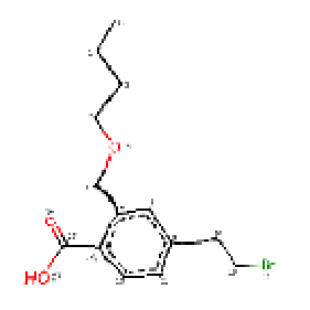 CCCCOCc1cc(CCBr)ccc1C(=O)O